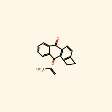 C=CC(=O)O.O=C1c2ccccc2C(=O)c2c1ccc1c2CC1